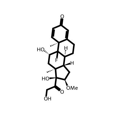 CO[C@@H]1C[C@H]2[C@@H]3CCC4=CC(=O)C=C[C@]4(C)C3(F)[C@@H](O)C[C@]2(C)[C@@]1(O)C(=O)CO